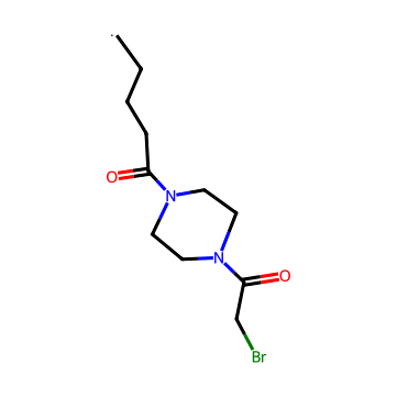 [CH2]CCCC(=O)N1CCN(C(=O)CBr)CC1